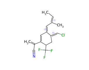 C=C(C#N)C1=CC(=C/C(C)=C\C)/C(=C/Cl)CC1C(F)(F)F